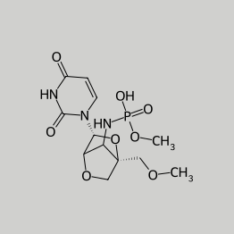 COC[C@]12COC(C1NP(=O)(O)OC)[C@H](n1ccc(=O)[nH]c1=O)O2